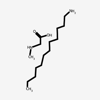 CCCCCCCCCCCCN.CNCC(=O)O